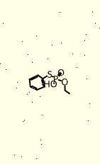 CCOP(=O)(O)Sc1ccccc1